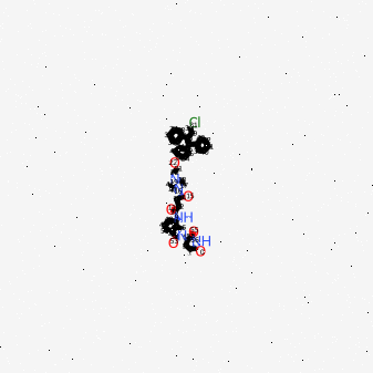 O=C1CCC(N2Cc3c(NC(=O)CCC(=O)N4CCN(CCOc5ccc(/C(=C(/CCCl)c6ccccc6)c6ccccc6)cc5)CC4)cccc3C2=O)C(=O)N1